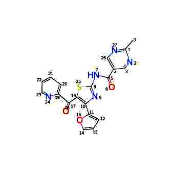 Cc1ncc(C(=O)Nc2nc(-c3ccco3)c(C(=O)c3ccccn3)s2)cn1